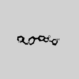 O=C1c2ccc(C3CCN(Cc4ccccn4)CC3)cc2CN1C1CCCNC1